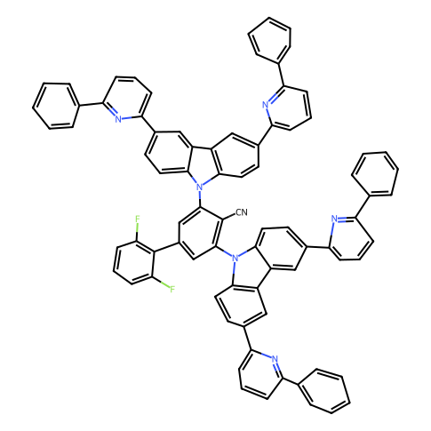 N#Cc1c(-n2c3ccc(-c4cccc(-c5ccccc5)n4)cc3c3cc(-c4cccc(-c5ccccc5)n4)ccc32)cc(-c2c(F)cccc2F)cc1-n1c2ccc(-c3cccc(-c4ccccc4)n3)cc2c2cc(-c3cccc(-c4ccccc4)n3)ccc21